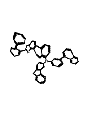 c1ccc(-c2ccccc2C2=Nc3c(ccc4c3ccc3c(N(c5cccc(-c6cccc7ccccc67)c5)c5ccc6c(c5)-c5ccccc5C6)cccc34)C2)cc1